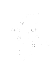 CC(C1CC1)n1c(=O)c2c(O)c(Sc3ccccc3)c(=O)oc2c2ccccc21